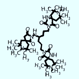 CN1C(C)(C)CC2(CC(=O)N(NC(CCCN3C(=O)NC4(CC(C)(C)N(C)C(C)(C)C4)C3=O)CCCN3C(=O)NC4(CC(C)(C)N(C)C(C)(C)C4)C3=O)C2=O)CC1(C)C